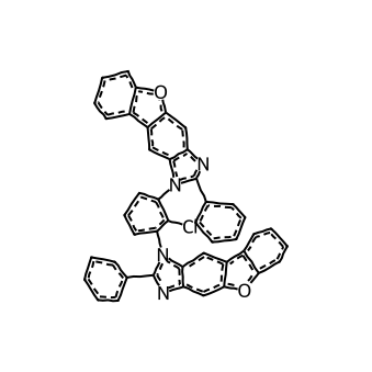 Clc1c(-n2c(-c3ccccc3)nc3cc4oc5ccccc5c4cc32)cccc1-n1c(-c2ccccc2)nc2cc3oc4ccccc4c3cc21